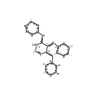 C1=NNC(=Cc2ccccc2)C(=Cc2ccccc2)C1=Cc1ccccc1